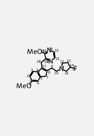 COc1ccc2c(c1)CC(CCN1CCC(F)C1)=C2Cc1nccnc1OC